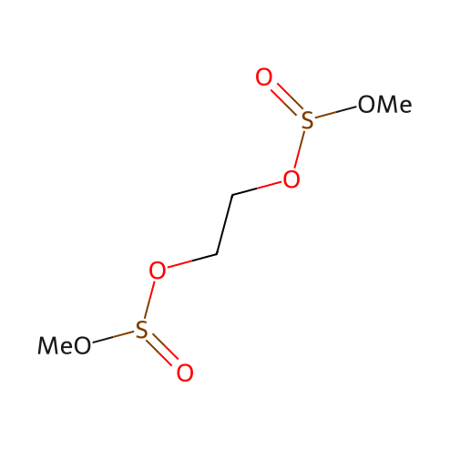 COS(=O)OCCOS(=O)OC